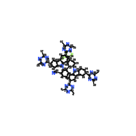 Cc1nc(C)nc(-c2ccc3c(c2)c2cc(-c4nc(C)nc(C)n4)ccc2n3-c2ccc(C(F)(F)F)cc2-c2cccc(C#N)c2-n2c3ccc(-c4nc(C)nc(C)n4)cc3c3cc(-c4nc(C)nc(C)n4)ccc32)n1